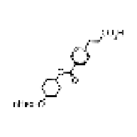 CCCCCCOC1CCC(OC(=O)c2ccc(C=CC(=O)O)cc2)CC1